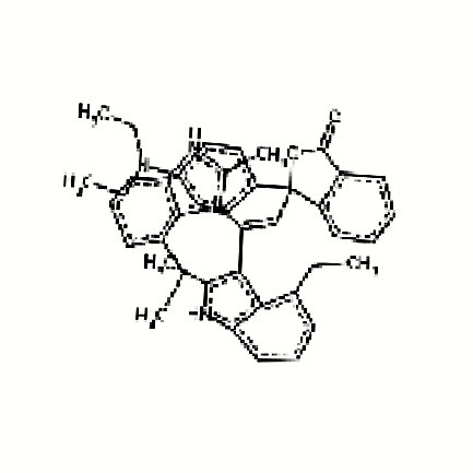 CCc1cccc2[nH]c(C)c(C(=CC3(c4ccc(N(CC)CC)cc4)OC(=O)c4ccccc43)c3c(C)[nH]c4cccc(CC)c34)c12